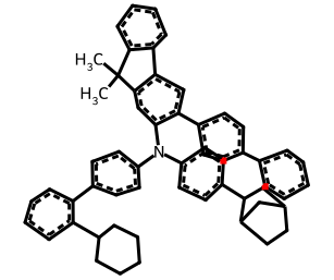 CC1(C)c2ccccc2-c2cc(-c3ccc(-c4ccccc4)cc3)c(N(c3ccc(-c4ccccc4C4CCCCC4)cc3)c3ccc(C4CC5CCC4C5)cc3)cc21